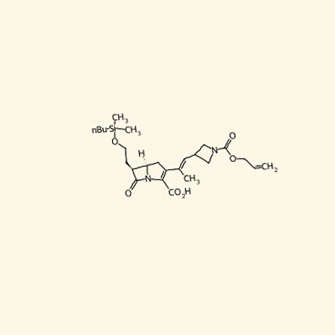 C=CCOC(=O)N1CC(C=C(C)C2=C(C(=O)O)N3C(=O)[C@@H](CCO[Si](C)(C)CCCC)[C@H]3C2)C1